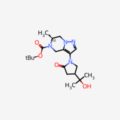 C[C@H]1Cn2ncc(N3CC(C(C)(C)O)CC3=O)c2CN1C(=O)OC(C)(C)C